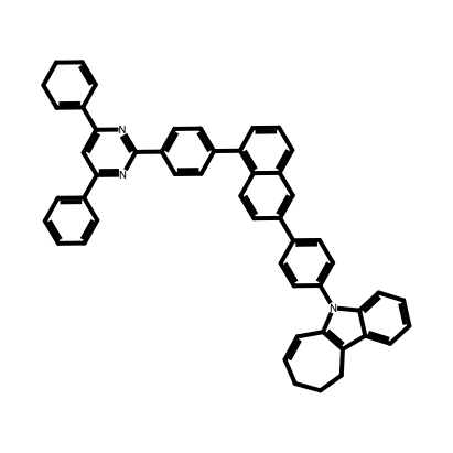 C1=CC(c2cc(-c3ccccc3)nc(-c3ccc(-c4cccc5cc(-c6ccc(-n7c8c(c9ccccc97)CCCC=C8)cc6)ccc45)cc3)n2)=CCC1